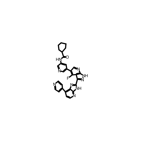 O=C(Nc1cncc(-c2cnc3[nH]nc(-c4nc5c(-c6ccncc6)ccnc5[nH]4)c3c2F)c1)C1CCCCC1